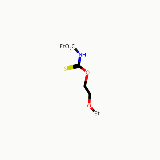 CCOCCOC(=S)NC(=O)OCC